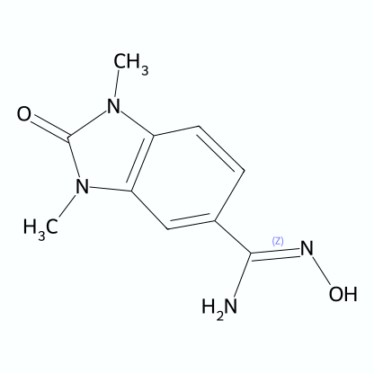 Cn1c(=O)n(C)c2cc(/C(N)=N/O)ccc21